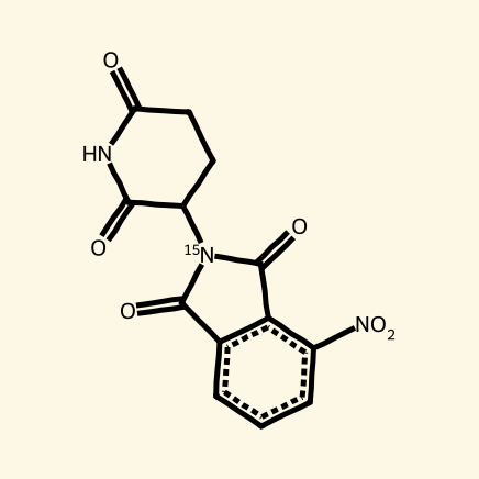 O=C1CCC([15N]2C(=O)c3cccc([N+](=O)[O-])c3C2=O)C(=O)N1